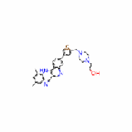 Cc1ccc(Nc2c(C#N)cnc3cc(-c4csc(CN5CCN(CCO)CC5)c4)ccc23)c(C)c1